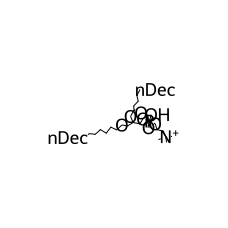 CCCCCCCCCCCCCCCCOCC(COP(=O)(O)OCC[N+](C)(C)C)OC(=O)CCCCCCCCCCCCC